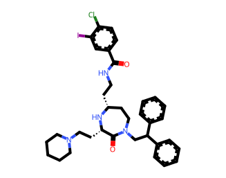 O=C(NCC[C@@H]1CCN(CC(c2ccccc2)c2ccccc2)C(=O)[C@H](CCN2CCCCC2)N1)c1ccc(Cl)c(I)c1